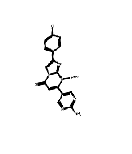 CCCCCn1c(-c2cnc(N)nc2)cc(=O)n2cc(-c3ccc(Cl)cc3)nc12